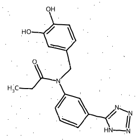 CCC(=O)N(Cc1ccc(O)c(O)c1)c1cccc(-c2nnn[nH]2)c1